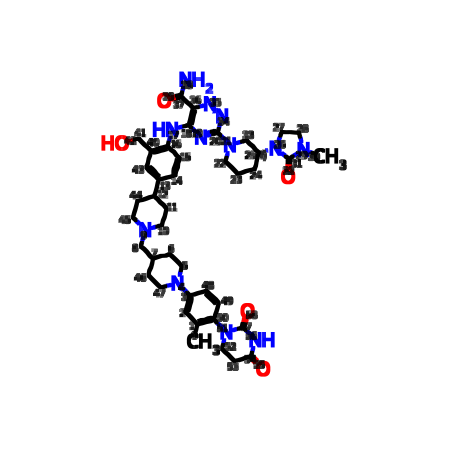 Cc1cc(N2CCC(CN3CCC(c4ccc(Nc5nc(N6CCC[C@@H](N7CCN(C)C7=O)C6)nnc5C(N)=O)c(CO)c4)CC3)CC2)ccc1N1CCC(=O)NC1=O